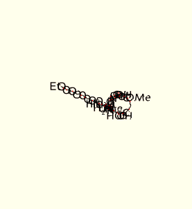 CCOCCOCCOCCOCCOCCOCCOCCNC(=O)O[C@@H]1CC[C@@H](C[C@@H](N)[C@@H]2CC(N=[N+]=[N-])[C@H](C)/C=C(\C)[C@@H](O)[C@@H](O)C(=O)[C@H](C)C[C@H](C)/C=C/C=C/C=C(\C)[C@@H](OC)C[C@@H]3CC[C@@H](C)[C@@](O)(O3)C(=O)C(=O)N3CCCC[C@H]3C(=O)O2)C[C@H]1OC